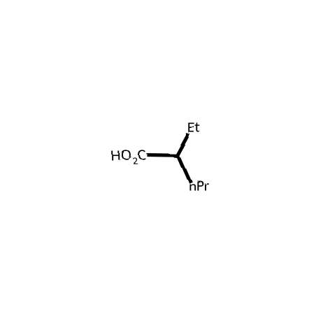 CCCC(CC)C(=O)O